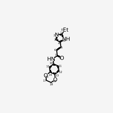 CCc1ncc(/C=C/C(=O)Nc2ccc3c(c2)OCCO3)[nH]1